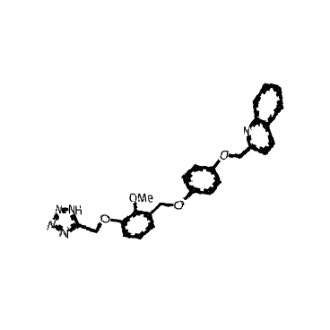 COc1c(COc2ccc(OCc3ccc4ccccc4n3)cc2)cccc1OCc1nnn[nH]1